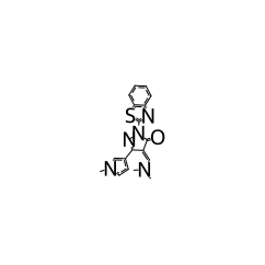 CN(C)/C=C1/C(=O)N(c2nc3ccccc3s2)N=C1c1ccn(C)c1